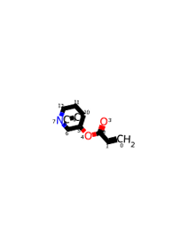 C=CC(=O)OC1CN2CCC1CC2